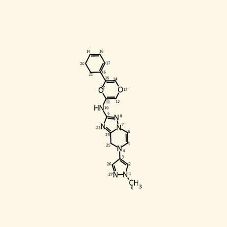 Cn1cc(N2C=Cn3nc(NC4=COC=C(C5=CC=CCC5)O4)nc3C2)cn1